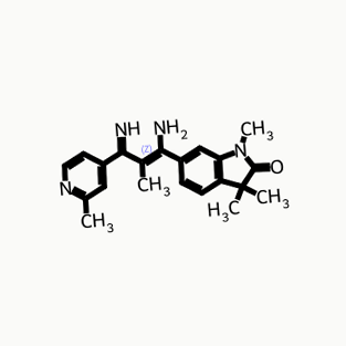 C/C(C(=N)c1ccnc(C)c1)=C(/N)c1ccc2c(c1)N(C)C(=O)C2(C)C